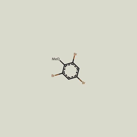 [CH2]Oc1c(Br)cc(Br)cc1Br